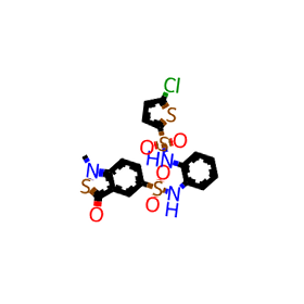 Cn1sc(=O)c2cc(S(=O)(=O)Nc3ccccc3NS(=O)(=O)c3ccc(Cl)s3)ccc21